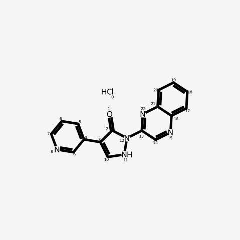 Cl.O=c1c(-c2cccnc2)c[nH]n1-c1cnc2ccccc2n1